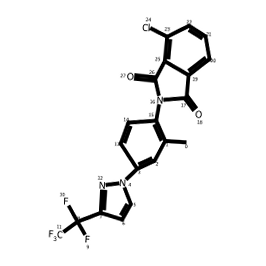 Cc1cc(-n2ccc(C(F)(F)C(F)(F)F)n2)ccc1N1C(=O)c2cccc(Cl)c2C1=O